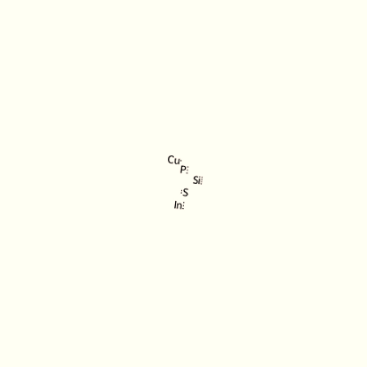 [Cu].[In].[P].[S].[Si]